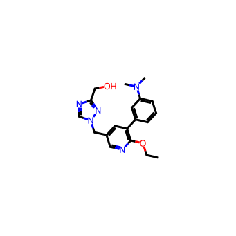 CCOc1ncc(Cn2cnc(CO)n2)cc1-c1cccc(N(C)C)c1